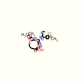 COc1ccc(-c2nn([C@H]3C[C@H]4C(=O)N[C@@]5(C(=O)O)C[C@H]5/C=C\CCCCC[C@@H](NC(=O)OC(C)(C)C)C(=O)N4C3)nc2-c2nccs2)cc1Cl